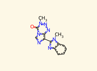 Cn1nnc2c(-c3nc4ccccc4n3C)ncn2c1=O